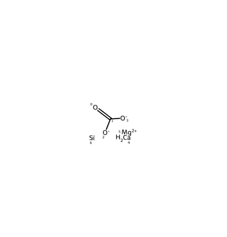 O=C([O-])[O-].[CaH2].[Mg+2].[Si]